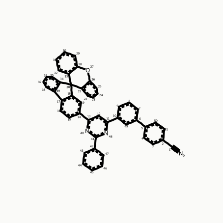 N#Cc1ccc(-c2cccc(-c3cc(-c4ccc5c(c4)C4(c6ccccc6Oc6ccccc64)c4ccccc4-5)nc(-c4ccccc4)n3)c2)cc1